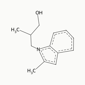 Cc1cc2ccccc2n1CC(C)CO